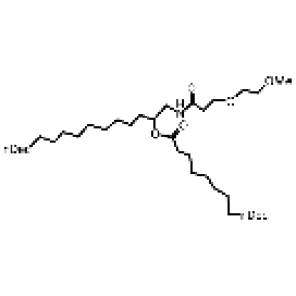 CCCCCCCCCCCCCCCCCCCC(CNC(=O)CCOCCOC)OC(=O)CCCCCCCCCCCCCCCCC